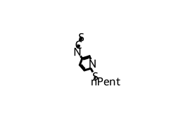 CCCCCSc1ccc(N=C=S)cn1